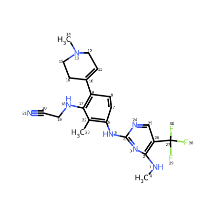 CNc1nc(Nc2ccc(C3=CCN(C)CC3)c(NCC#N)c2C)ncc1C(F)(F)F